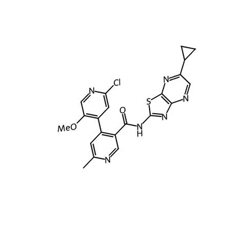 COc1cnc(Cl)cc1-c1cc(C)ncc1C(=O)Nc1nc2ncc(C3CC3)nc2s1